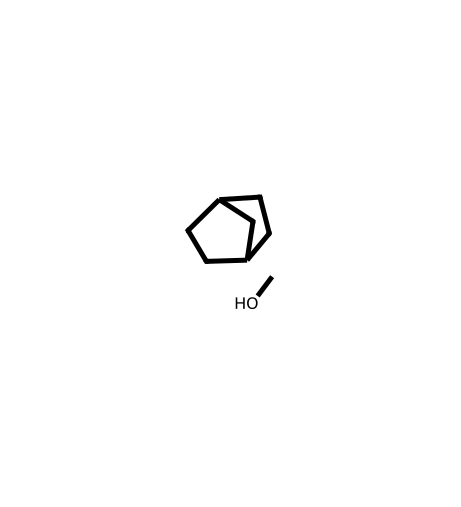 C1CC2CCC1C2.CO